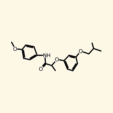 COc1ccc(NC(=O)C(C)Oc2cccc(OCC(C)C)c2)cc1